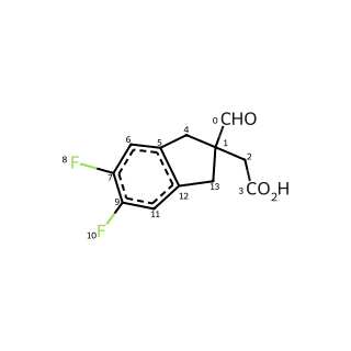 O=CC1(CC(=O)O)Cc2cc(F)c(F)cc2C1